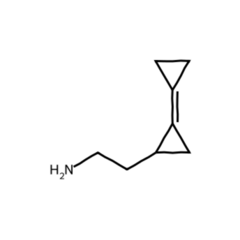 NCCC1CC1=C1CC1